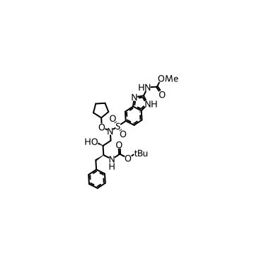 COC(=O)Nc1nc2cc(S(=O)(=O)N(C[C@H](O)[C@H](Cc3ccccc3)NC(=O)OC(C)(C)C)OC3CCCC3)ccc2[nH]1